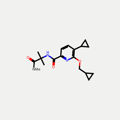 CNC(=O)C(C)(C)NC(=O)c1ccc(C2CC2)c(OCC2CC2)n1